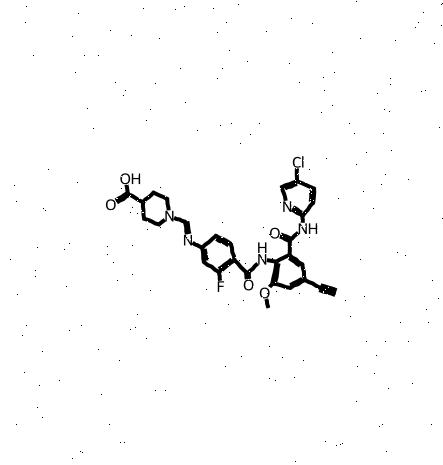 C#Cc1cc(OC)c(NC(=O)c2ccc(N=CN3CCC(C(=O)O)CC3)cc2F)c(C(=O)Nc2ccc(Cl)cn2)c1